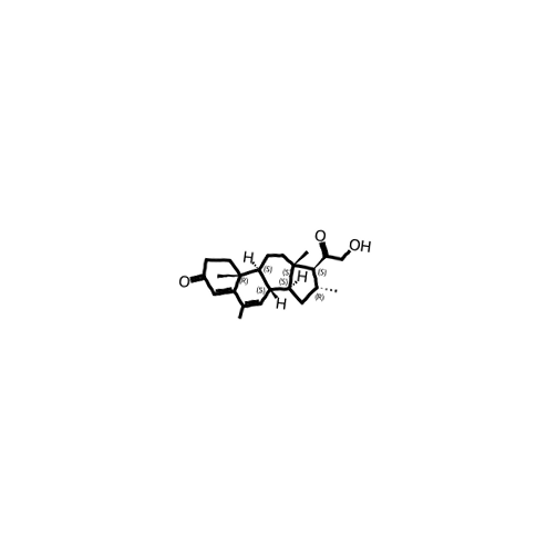 CC1=C[C@H]2[C@@H]3C[C@@H](C)[C@H](C(=O)CO)[C@@]3(C)CC[C@@H]2[C@@]2(C)CCC(=O)C=C12